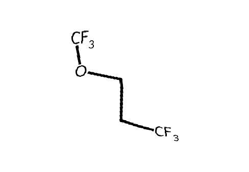 FC(F)(F)CCOC(F)(F)F